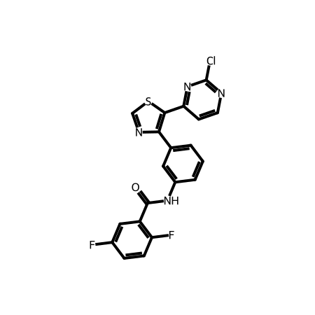 O=C(Nc1cccc(-c2ncsc2-c2ccnc(Cl)n2)c1)c1cc(F)ccc1F